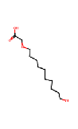 O=C(O)COCCCCCCCCCCO